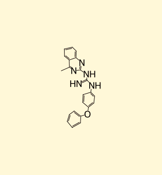 Cc1nc(NC(=N)Nc2ccc(Oc3ccccc3)cc2)nc2ccccc12